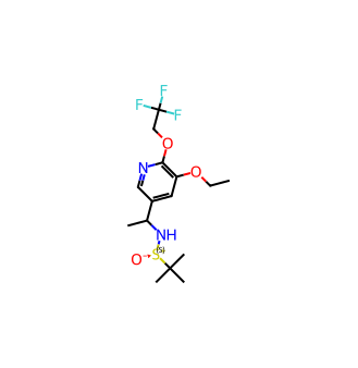 CCOc1cc(C(C)N[S@+]([O-])C(C)(C)C)cnc1OCC(F)(F)F